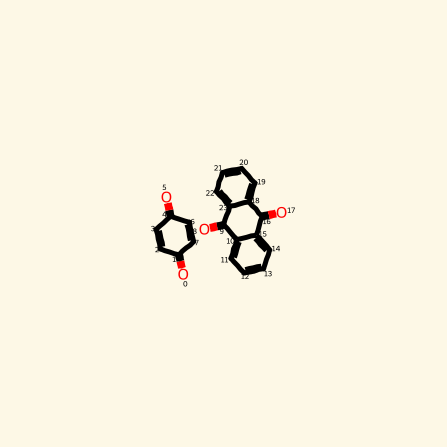 O=C1C=CC(=O)C=C1.O=C1c2ccccc2C(=O)c2ccccc21